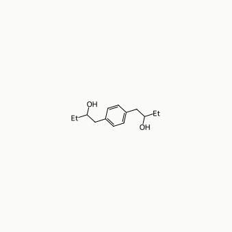 CCC(O)Cc1ccc(CC(O)CC)cc1